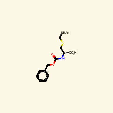 CC(=O)NCSC[C@H](NC(=O)OCc1ccccc1)C(=O)O